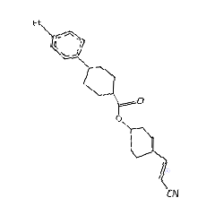 CCc1ccc(C2CCC(C(=O)OC3CCC(/C=C/C#N)CC3)CC2)cc1